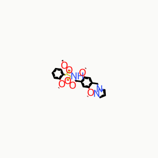 COc1cc(C(=O)NS(=O)(=O)c2c(OC)cccc2OC)c(OC)cc1Cn1cccn1